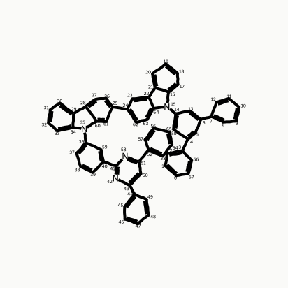 c1ccc(-c2cc(-c3ccccc3)cc(-n3c4ccccc4c4cc(-c5ccc6c7ccccc7n(-c7cccc(-c8nc(-c9ccccc9)cc(-c9ccccc9)n8)c7)c6c5)ccc43)c2)cc1